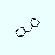 [c]1[c]ccc(Cc2ccccc2)[c]1